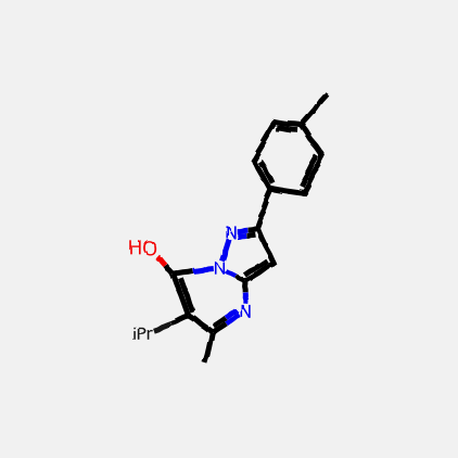 Cc1ccc(-c2cc3nc(C)c(C(C)C)c(O)n3n2)cc1